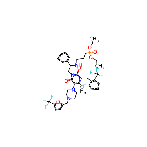 CCOP(=O)(CCCN[C@@H](Cn1c(=O)c(N2CCN(Cc3ccc(C(F)(F)F)o3)CC2)c(C)n(Cc2c(F)cccc2C(F)(F)F)c1=O)c1ccccc1)OCC